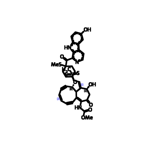 COC(=O)NC1=C2C#C/C=C\C#C[C@H](OC3CCC(SC)(C(=O)c4nccc5c4[nH]c4ccc(O)cc45)CC3)C2/C(=C\CS(C)(=S)=S)[C@@H](O)CC1=O